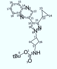 CC(C)(C)OC(=O)NC1CC(n2cc(-c3cnc4ccccc4n3)c(C3CC3)n2)C1